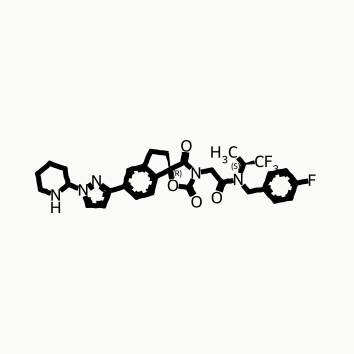 C[C@H](N(Cc1ccc(F)cc1)C(=O)CN1C(=O)O[C@@]2(CCc3cc(-c4ccn(C5CCCCN5)n4)ccc32)C1=O)C(F)(F)F